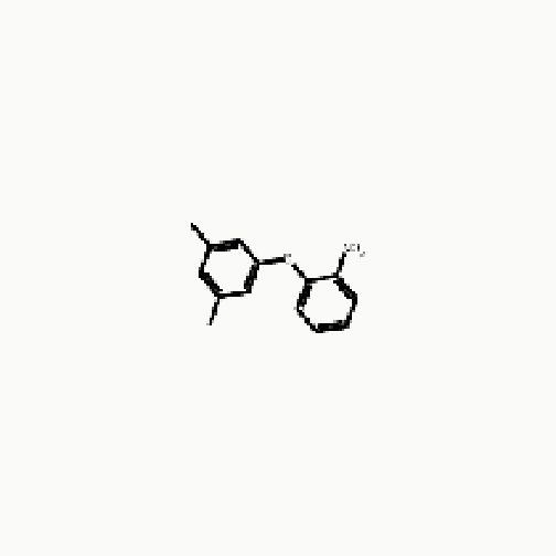 Cc1cc(C)cc(Oc2ccccc2[N+](=O)[O-])c1